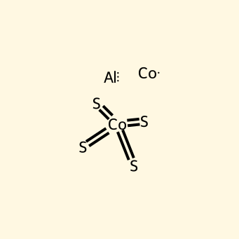 [Al].[Co].[S]=[Co](=[S])(=[S])=[S]